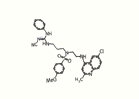 COc1ccc(S(=O)(=O)N(CCCN/C(=N\C#N)Nc2ccccc2)CCNc2cc(C)nc3ccc(Cl)cc23)cc1